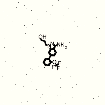 Nc1nn(CCCO)c2cc(-c3ccccc3OC(F)(F)F)ccc12